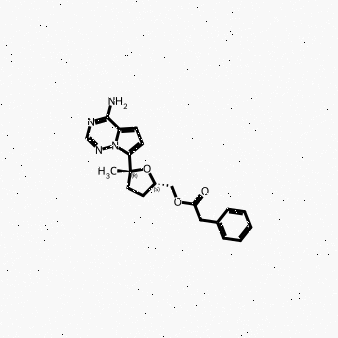 C[C@]1(c2ccc3c(N)ncnn23)CC[C@@H](COC(=O)Cc2ccccc2)O1